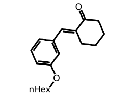 CCCCCCOc1cccc(/C=C2\CCCCC2=O)c1